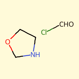 C1COCN1.O=CCl